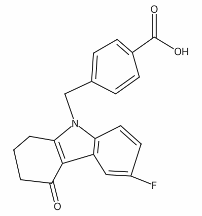 O=C(O)c1ccc(Cn2c3c(c4cc(F)ccc42)C(=O)CCC3)cc1